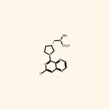 CC(C)(C)N(C[C@H]1CCN(c2nc(Cl)cc3nccnc23)C1)C(=O)O